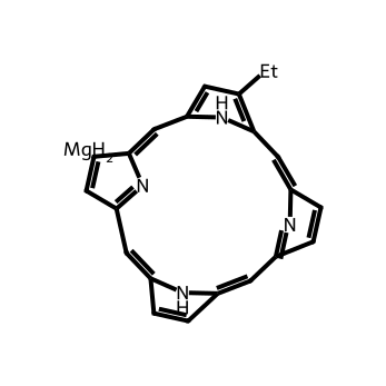 CCc1cc2cc3nc(cc4ccc(cc5nc(cc1[nH]2)C=C5)[nH]4)C=C3.[MgH2]